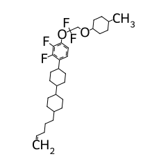 C=CCCCC1CCC(C2CCC(c3ccc(OC(F)(F)COC4CCC(C)CC4)c(F)c3F)CC2)CC1